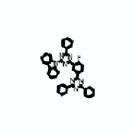 Fc1ccc(-c2nc(-c3ccccc3)nc(-c3ccccc3)n2)cc1-c1nc(-c2ccccc2)nc(-n2c3ccccc3c3ccccc32)n1